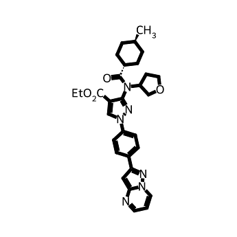 CCOC(=O)c1cn(-c2ccc(-c3cc4ncccn4n3)cc2)nc1N(C(=O)[C@H]1CC[C@H](C)CC1)C1CCOC1